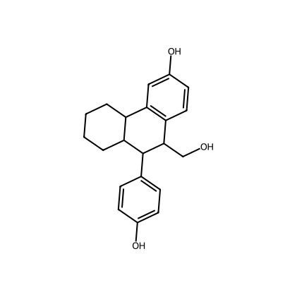 OCC1c2ccc(O)cc2C2CCCCC2C1c1ccc(O)cc1